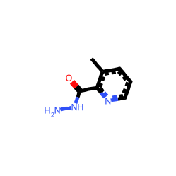 Cc1cccnc1C(=O)NN